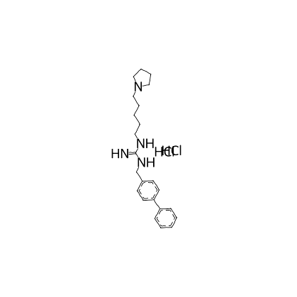 Cl.Cl.N=C(NCCCCCN1CCCC1)NCc1ccc(-c2ccccc2)cc1